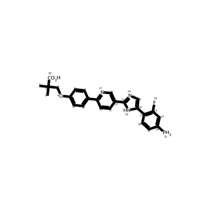 CC(C)(COc1ccc(-c2ccc(-c3ncc(-c4ccc(P)cc4F)[nH]3)cn2)cc1)C(=O)O